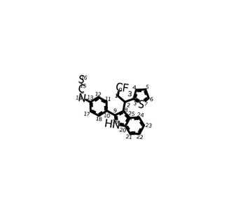 FC(F)(F)CC(c1cccs1)c1c(-c2ccc(N=C=S)cc2)[nH]c2ccccc12